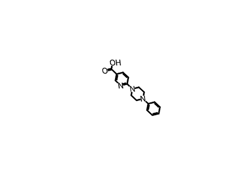 O=C(O)c1ccc(N2CCN(c3ccccc3)CC2)nc1